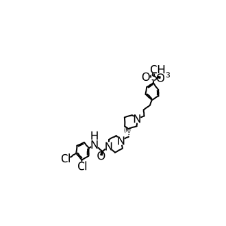 CS(=O)(=O)c1ccc(CCCN2CCC[C@@H](CN3CCN(C(=O)Nc4ccc(Cl)c(Cl)c4)CC3)C2)cc1